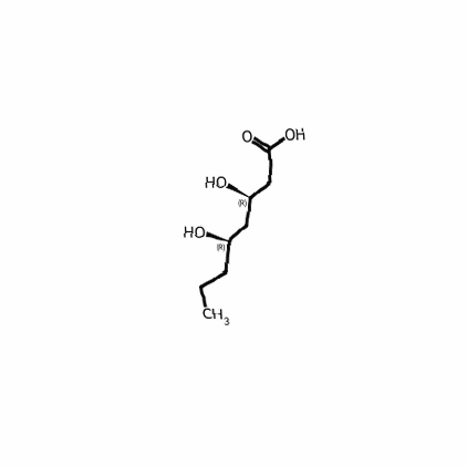 CCC[C@@H](O)C[C@@H](O)CC(=O)O